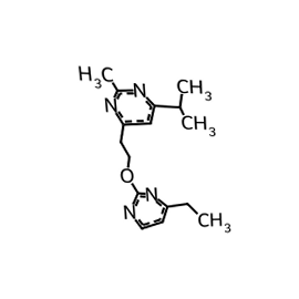 CCc1ccnc(OCCc2cc(C(C)C)nc(C)n2)n1